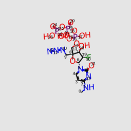 CNc1ccn([C@@H]2O[C@](CN=[N+]=[N-])(COP(=O)(O)OP(=O)(O)OP(=O)(O)O)[C@@H](O)[C@H]2F)c(=O)n1